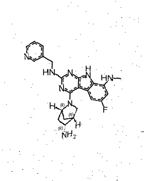 CNc1cc(F)cc2c1[nH]c1nc(NCc3cccnc3)nc(N3C[C@H]4C[C@@H]3C[C@H]4N)c12